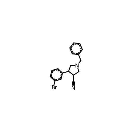 N#CC1CN(Cc2ccccc2)CC1c1cccc(Br)c1